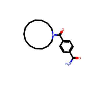 NC(=O)c1ccc(C(=O)N2CCCCCCCCCCCCC2)cc1